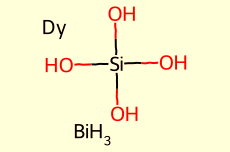 O[Si](O)(O)O.[BiH3].[Dy]